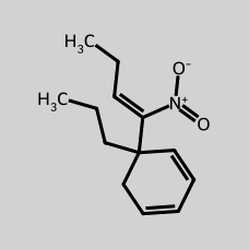 CC/C=C(\[N+](=O)[O-])C1(CCC)C=CC=CC1